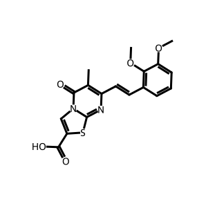 COc1cccc(/C=C/c2nc3sc(C(=O)O)cn3c(=O)c2C)c1OC